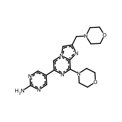 Nc1ncc(-c2cn3cc(CN4CCOCC4)nc3c(N3CCOCC3)n2)cn1